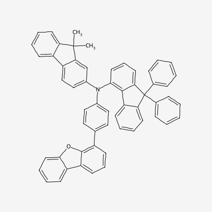 CC1(C)c2ccccc2-c2ccc(N(c3ccc(-c4cccc5c4oc4ccccc45)cc3)c3cccc4c3-c3ccccc3C4(c3ccccc3)c3ccccc3)cc21